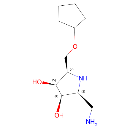 NC[C@@H]1N[C@H](COC2CCCC2)[C@H](O)[C@@H]1O